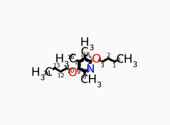 CCCCOc1nc(C)c(OCCCC)c(C)c1C